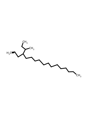 C=CCC(CCCCCCCCCCCCC)C(C)CC